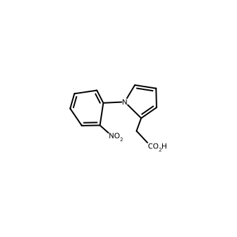 O=C(O)Cc1cccn1-c1ccccc1[N+](=O)[O-]